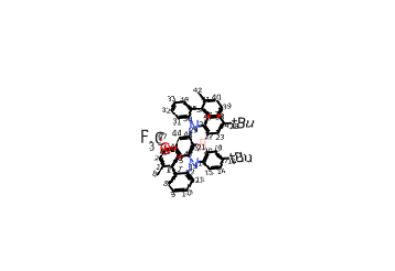 Cc1ccccc1-c1ccccc1N1c2ccc(C(C)(C)C)cc2B2c3cc(C(C)(C)C)ccc3N(c3ccccc3-c3ccccc3C)c3cc(OC(F)(F)F)cc1c32